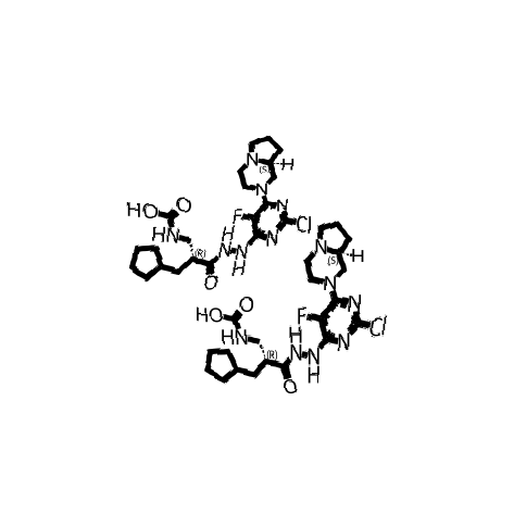 O=C(O)NC[C@@H](CC1CCCC1)C(=O)NNc1nc(Cl)nc(N2CCN3CCC[C@H]3C2)c1F.O=C(O)NC[C@@H](CC1CCCC1)C(=O)NNc1nc(Cl)nc(N2CCN3CCC[C@H]3C2)c1F